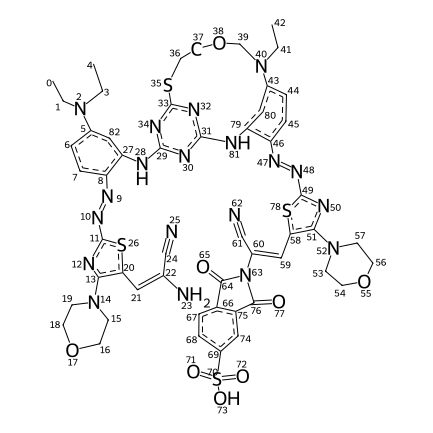 CCN(CC)c1ccc(/N=N/c2nc(N3CCOCC3)c(/C=C(/N)C#N)s2)c(Nc2nc3nc(n2)SCCOCN(CC)c2ccc(/N=N/c4nc(N5CCOCC5)c(/C=C(\C#N)N5C(=O)c6ccc(S(=O)(=O)O)cc6C5=O)s4)c(c2)N3)c1